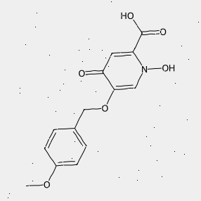 COc1ccc(COc2cn(O)c(C(=O)O)cc2=O)cc1